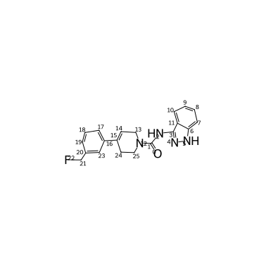 O=C(Nc1n[nH]c2ccccc12)N1CC=C(c2cccc(CF)c2)CC1